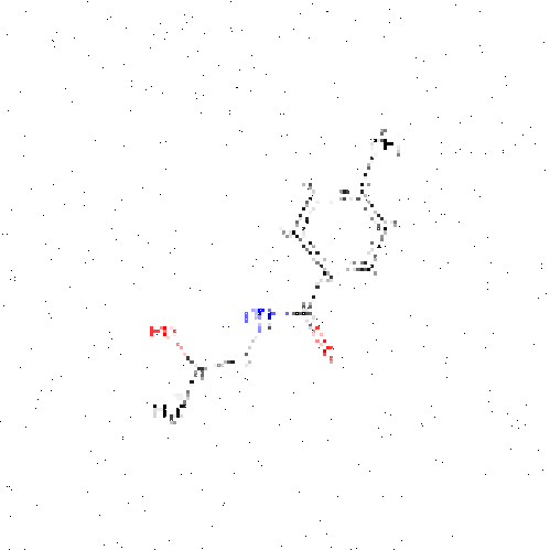 Cc1ccc(C(=O)NCC(C)O)cc1